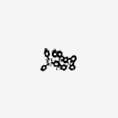 c1ccc(-c2nc(-c3ccccc3)nc(-c3cc(-n4c5cc6c(cc5c5ccc7ccccc7c54)c4cccc5c7ccccc7n6c54)c4c(c3)oc3ccccc34)n2)cc1